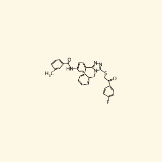 Cc1cccc(C(=O)Nc2ccc(-c3nnc(SCC(=O)c4ccc(F)cc4)n3Cc3ccccc3)cc2)c1